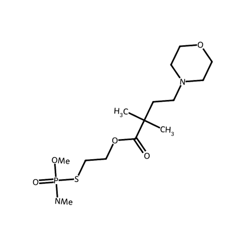 CNP(=O)(OC)SCCOC(=O)C(C)(C)CCN1CCOCC1